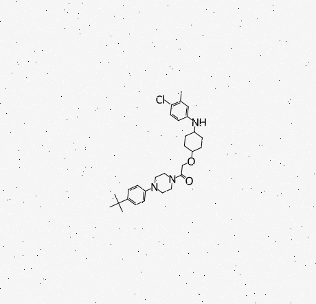 Cc1cc(NC2CCC(OCC(=O)N3CCN(c4ccc(C(C)(C)C)cc4)CC3)CC2)ccc1Cl